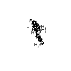 COC1CN(c2ncc(NC(=O)N[C@H](c3oc4ccc(F)cc4c3C)C(C)C)cn2)C1